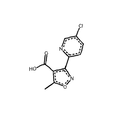 Cc1onc(-c2ccc(Cl)cn2)c1C(=O)O